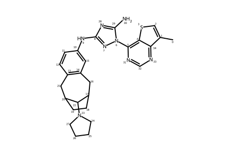 Cc1csc2c(-n3nc(Nc4ccc5c(c4)CC4CCC(C5)C4N4CCCC4)nc3N)ncnc12